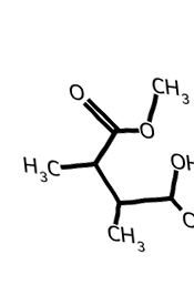 COC(=O)C(C)C(C)C(O)O